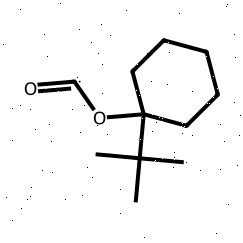 CC(C)(C)C1(O[C]=O)CCCCC1